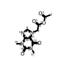 CC(=O)OC(=O)Cn1cnc2c1c(=O)n(C)c(=O)n2C